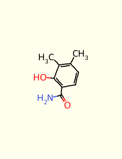 Cc1ccc(C(N)=O)c(O)c1C